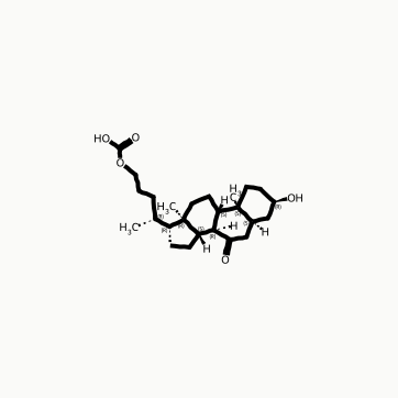 C[C@H](CCCOC(=O)O)[C@H]1CC[C@H]2[C@@H]3C(=O)C[C@@H]4C[C@H](O)CC[C@]4(C)[C@H]3CC[C@]12C